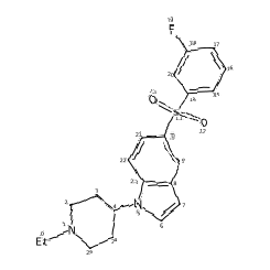 CCN1CCC(n2ccc3cc(S(=O)(=O)c4cccc(F)c4)ccc32)CC1